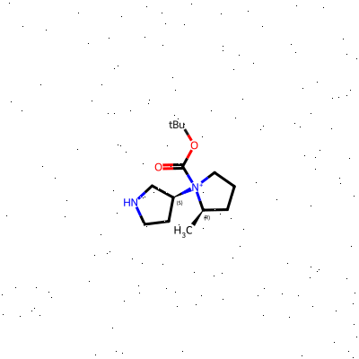 C[C@@H]1CCC[N+]1(C(=O)OC(C)(C)C)[C@H]1CCNC1